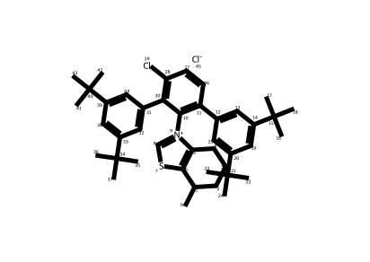 CC1CCCc2c1sc[n+]2-c1c(-c2cc(C(C)(C)C)cc(C(C)(C)C)c2)ccc(Cl)c1-c1cc(C(C)(C)C)cc(C(C)(C)C)c1.[Cl-]